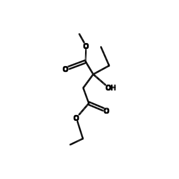 CCOC(=O)CC(O)(CC)C(=O)OC